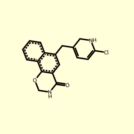 O=C1NCOc2c1cc(CC1=CC=C(Cl)NC1)c1ccccc21